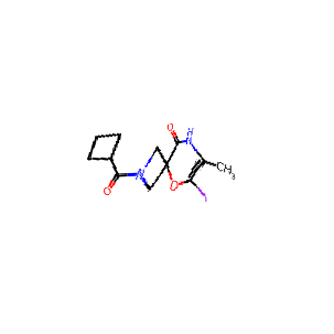 CC1=C(I)OC2(CN(C(=O)C3CCC3)C2)C(=O)N1